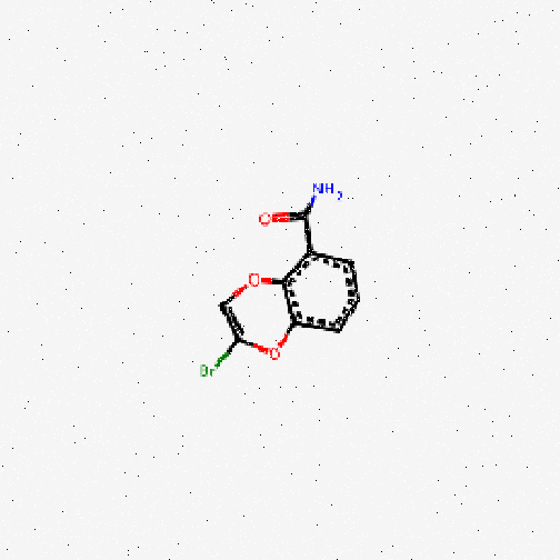 NC(=O)c1cccc2c1OC=C(Br)O2